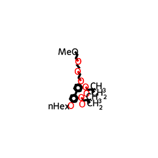 C=C(C)C(=O)Oc1cc(-c2ccc(OCCCCCC)cc2OC(=O)C(=C)C)ccc1OCCOCCOCCOC